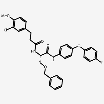 COc1ccc(CCC(=O)N[C@@H](COCc2ccccc2)C(=O)Nc2ccc(Oc3ccc(F)cc3)cc2)cc1Cl